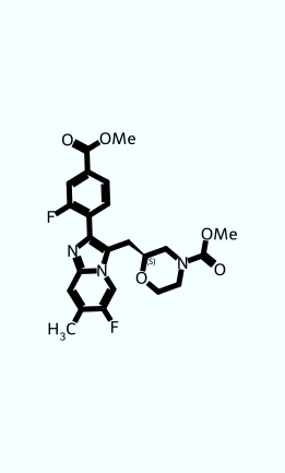 COC(=O)c1ccc(-c2nc3cc(C)c(F)cn3c2C[C@H]2CN(C(=O)OC)CCO2)c(F)c1